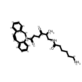 CC(CNC(=O)CCCCCN)C(=O)CCC(=O)N1Cc2ccccc2C#Cc2ccccc21